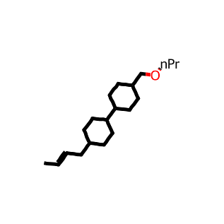 C/C=C/CC1CCC(C2CCC(COCCC)CC2)CC1